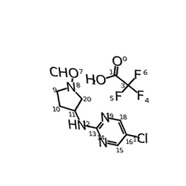 O=C(O)C(F)(F)F.O=CN1CCC(Nc2ncc(Cl)cn2)C1